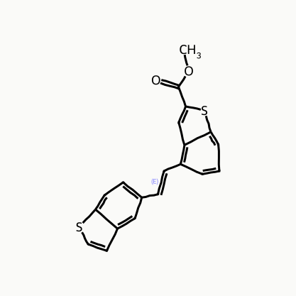 COC(=O)c1cc2c(/C=C/c3ccc4sccc4c3)cccc2s1